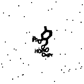 CC1C=CC(COP(=O)(O)OC(C)C)C(OC(C)C)C1